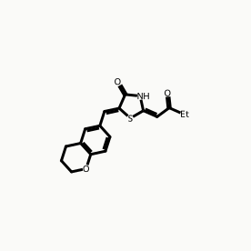 CCC(=O)/C=c1\[nH]c(=O)/c(=C/c2ccc3c(c2)CCCO3)s1